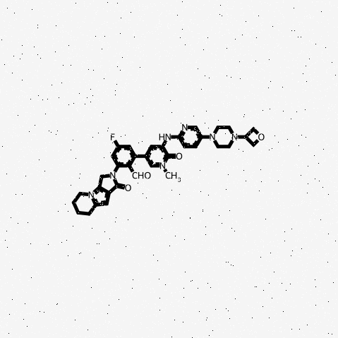 Cn1cc(-c2cc(F)cc(N3Cc4c(cc5n4CCCC5)C3=O)c2C=O)cc(Nc2ccc(N3CCN(C4COC4)CC3)cn2)c1=O